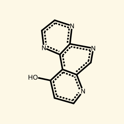 Oc1ccnc2cnc3nccnc3c12